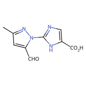 Cc1cc(C=O)n(-c2ncc(C(=O)O)[nH]2)n1